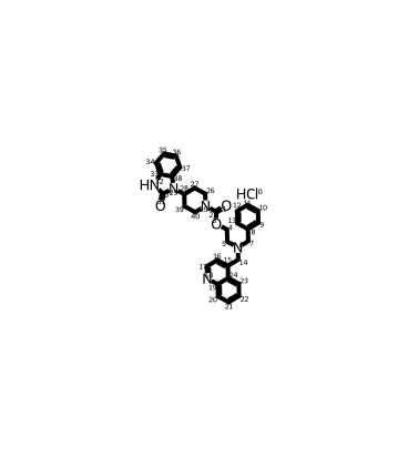 Cl.O=C(OCCN(Cc1ccccc1)Cc1ccnc2ccccc12)N1CCC(n2c(=O)[nH]c3ccccc32)CC1